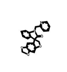 O=C1N(Cc2ccccn2)c2ccccc2C12COc1cc3c(cc12)OCO3